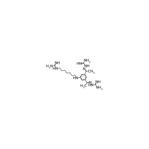 CC(=NNC(=N)N)c1cc(NCCCCCCCNC(=N)N)cc(C(C)=NNC(=N)N)c1